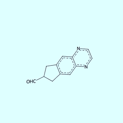 O=CC1Cc2cc3nccnc3cc2C1